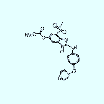 COC(=O)Oc1cc(S(C)(=O)=O)c2nc(Nc3ccc(Oc4ccncc4)cc3)[nH]c2c1